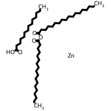 CCCCCCCCCCCCCC(=O)O.CCCCCCCCCCCCCCCCCC(=O)OC(=O)CCCCCCCCCCCCCCCCC.[Zn]